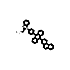 CCc1nc2ccccc2n1-c1ccc(-c2c3ccccc3c(C3=CC4=CC=C5C=CC=CC5C4C=C3)c3ccccc23)cc1